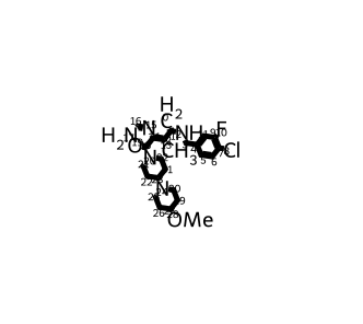 C=C(NCc1ccc(Cl)c(F)c1)/C(C)=C(\N=C/N)C(=O)N1CCC(N2CCC(OC)CC2)CC1